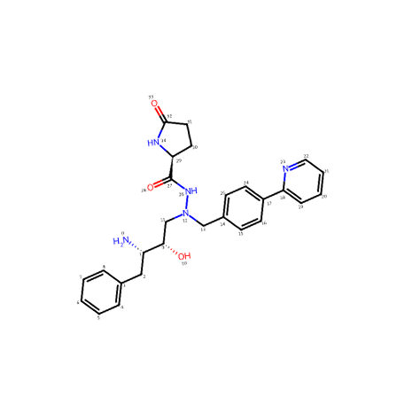 N[C@@H](Cc1ccccc1)[C@@H](O)CN(Cc1ccc(-c2ccccn2)cc1)NC(=O)[C@@H]1CCC(=O)N1